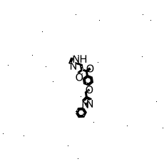 O=C1/C(=C/c2ncc[nH]2)COc2cc(OCc3cnn(-c4ccccc4)c3)ccc21